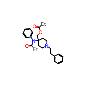 CCC(=O)OCC1(N(C(=O)CC)c2ccccc2)CCN(CCc2ccccc2)CC1